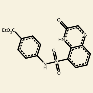 CCOC(=O)c1ccc(NS(=O)(=O)c2cccc3ncc(=O)[nH]c23)cc1